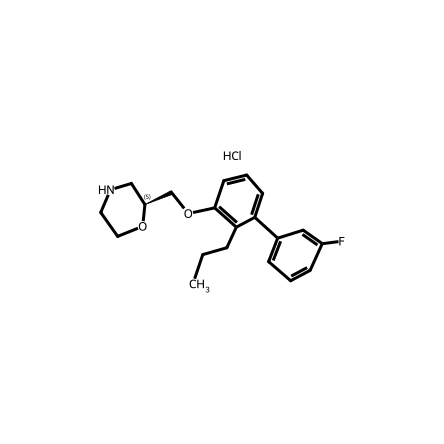 CCCc1c(OC[C@@H]2CNCCO2)cccc1-c1cccc(F)c1.Cl